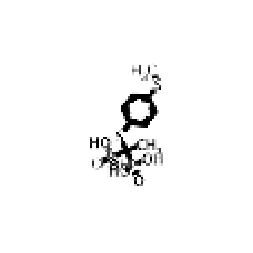 CSc1ccc(SC(C)(P(=O)(O)O)P(=O)(O)O)cc1